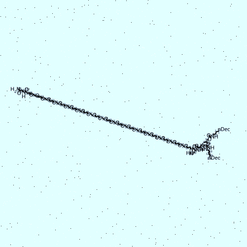 CCCCCCCCCCCCCCNC(=O)OC[C@H](CSC[C@H](N)C(=O)N[C@@H](CO)C(=O)NCCOCCOCCOCCOCCOCCOCCOCCOCCOCCOCCOCCOCCOCCOCCOCCOCCOCCOCCOCCOCCOCCOCCOCCOCCOCCOCCOCCOCCC(=O)NCC(N)=O)OC(=O)NCCCCCCCCCCCCCC